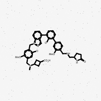 COc1cc(-c2cccc(-c3cccc4c3cnn4Cc3cc(OC)c(CN(C)C4CC(C(=O)O)C4)cc3Cl)c2Cl)ccc1CNCC1CCC(=O)N1